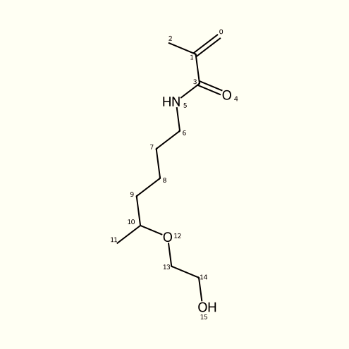 C=C(C)C(=O)NCCCCC(C)OCCO